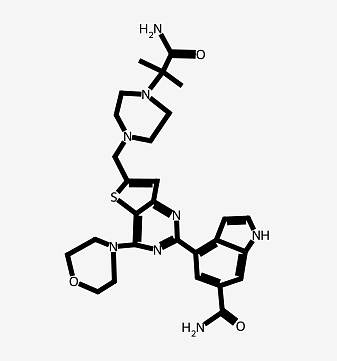 CC(C)(C(N)=O)N1CCN(Cc2cc3nc(-c4cc(C(N)=O)cc5[nH]ccc45)nc(N4CCOCC4)c3s2)CC1